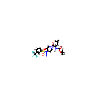 CC(C)CC(C(=O)N1CCC(NS(=O)(=O)c2cccc(C(F)(F)F)c2)CC1)N(C)C(=O)OC(C)(C)C